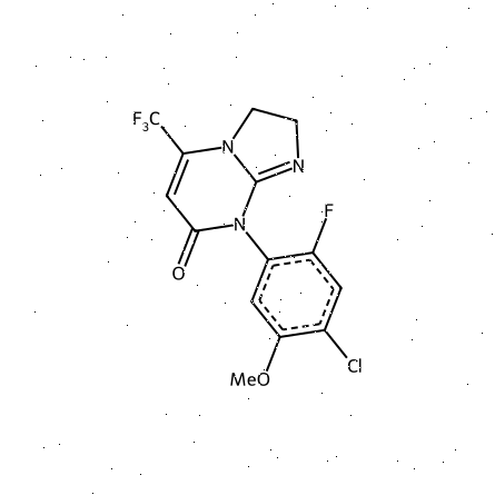 COc1cc(N2C(=O)C=C(C(F)(F)F)N3CCN=C32)c(F)cc1Cl